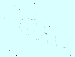 CC(C)(C)OC(=O)N1C2CCC1CC(c1ccc(N)c(N)n1)C2